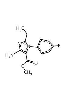 CCc1nc(N)c(C(=O)OC)n1-c1ccc(F)cc1